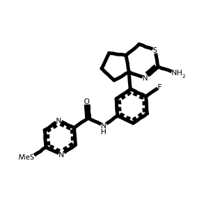 CSc1cnc(C(=O)Nc2ccc(F)c(C34CCCC3CSC(N)=N4)c2)cn1